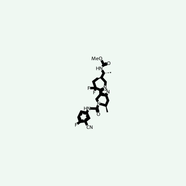 COC(=O)N[C@H](C)[C@@H]1CCC(F)(F)c2c3c(nn2C1)C[C@@H](C)N(C(=O)Nc1ccc(F)c(C#N)c1)C3